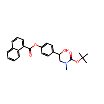 CN(CC(O)c1ccc(OC(=O)c2cccc3ccccc23)cc1)C(=O)OC(C)(C)C